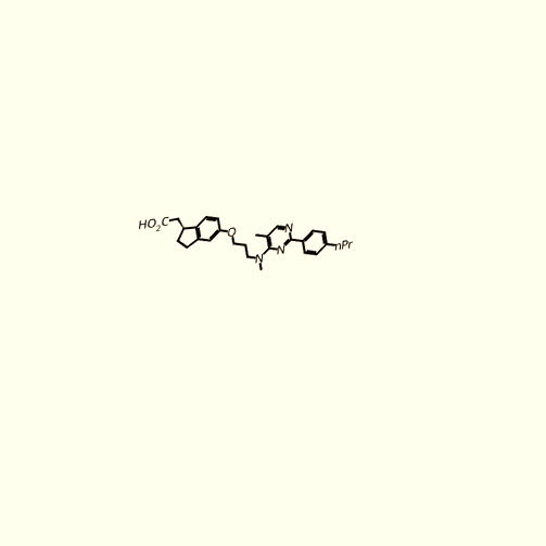 CCCc1ccc(-c2ncc(C)c(N(C)CCCOc3ccc4c(c3)CC[C@H]4CC(=O)O)n2)cc1